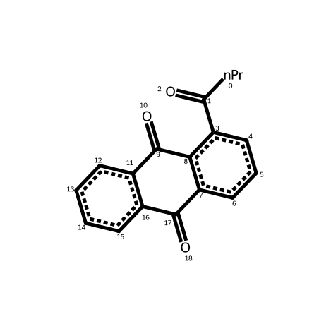 CCCC(=O)c1cccc2c1C(=O)c1ccccc1C2=O